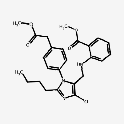 CCCCc1nc(Cl)c(CNc2ccccc2C(=O)OC)n1-c1ccc(CC(=O)OC)cc1